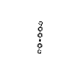 C(#Cc1ccc(N2CCCC2)cc1)c1ccc(-c2ccc(N3CCCC3)cc2)cc1